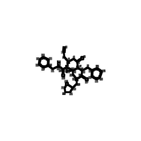 C#CCN1CC(=O)N2[C@@H](Cc3ccccc3)C(=O)N(CC3CCCO3)C[C@@H]2N1C(=O)NCc1ccccc1